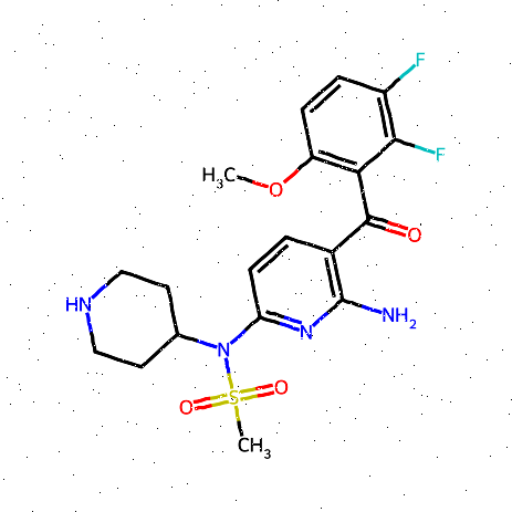 COc1ccc(F)c(F)c1C(=O)c1ccc(N(C2CCNCC2)S(C)(=O)=O)nc1N